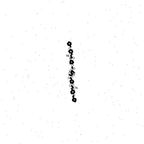 N#C/C(=C\c1ccc(OCc2ccccc2)cc1)C(=O)Oc1ccc(OCC(=O)O[C@@H]2CO[C@@H]3[C@H]2OC[C@H]3OC(=O)c2ccc(OC(=O)/C(C#N)=C/c3ccc(OCc4ccccc4)cc3)cc2)cc1